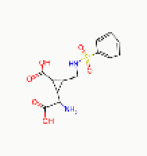 NC(C(=O)O)C1C(CNS(=O)(=O)c2ccccc2)C1C(=O)O